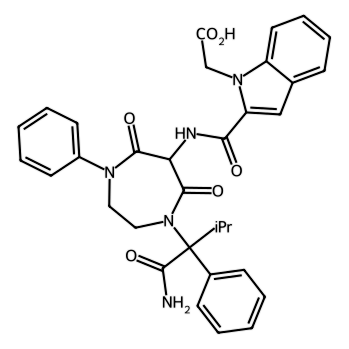 CC(C)C(C(N)=O)(c1ccccc1)N1CCN(c2ccccc2)C(=O)C(NC(=O)c2cc3ccccc3n2CC(=O)O)C1=O